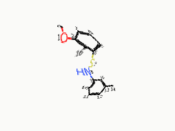 COc1cccc(SNc2cccc(C)c2)c1